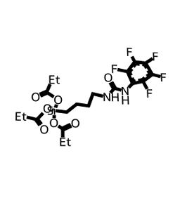 CCC(=O)O[Si](CCCCNC(=O)Nc1c(F)c(F)c(F)c(F)c1F)(OC(=O)CC)OC(=O)CC